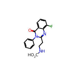 O=C(O)NCCc1nc2c(F)cccc2c(=O)n1-c1ccccc1